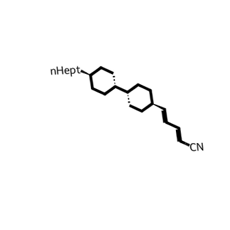 CCCCCCC[C@H]1CC[C@H]([C@H]2CC[C@H](C=CC=CC#N)CC2)CC1